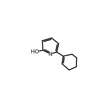 Oc1cccc(C2=CCCCC2)n1